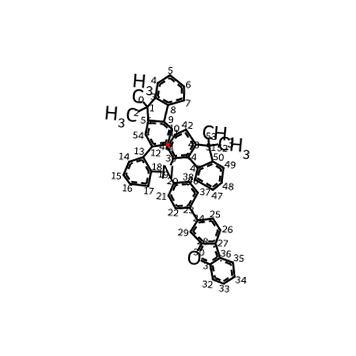 CC1(C)c2ccccc2-c2ccc(-c3ccccc3N(c3ccc(-c4ccc5c(c4)oc4ccccc45)cc3)c3cccc4c3-c3ccccc3C4(C)C)cc21